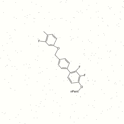 CCCCCOc1ccc(-c2ccc(COc3ccc(C)c(F)c3)cc2)c(F)c1F